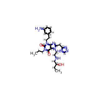 CCCn1c(=O)c2c(nc(Cc3nnc[nH]3)n2CCNCC(O)CC)n(CCc2cccc(N)c2)c1=O